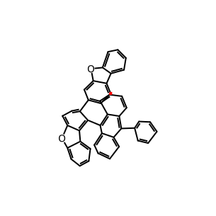 c1ccc(-c2c3ccccc3c(-c3c(-c4ccc5c(c4)oc4ccccc45)ccc4oc5ccccc5c34)c3ccccc23)cc1